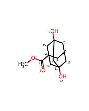 COC(=O)C12CC3CC(O)(CC(O)(C3)C1)C2